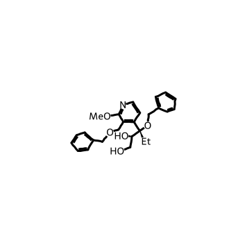 CC[C@](OCc1ccccc1)(c1ccnc(OC)c1COCc1ccccc1)[C@H](O)CO